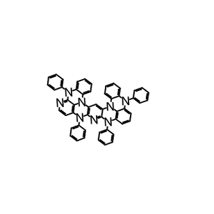 c1ccc(-n2c3ccccc3n3c4cc5c(nc4n(-c4ccccc4)c4cccc2c43)n(-c2ccccc2)c2ccnc3c2n5c2ccccc2n3-c2ccccc2)cc1